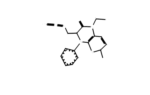 [N-]=[N+]=NCC1C(=O)N(CI)C2=C(NC(Cl)C=C2)N1c1ccccc1